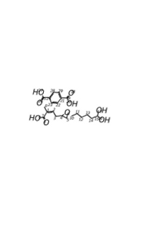 CC(=CCC1CO1)C(=O)O.CCCCCC(O)O.O=C(O)c1ccc(C(=O)O)cc1